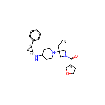 N#CCC1(N2CCC(N[C@@H]3C[C@H]3c3ccccc3)CC2)CN(C(=O)[C@@H]2CCOC2)C1